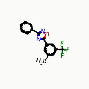 Bc1cc(-c2nc(-c3ccccc3)no2)cc(C(F)(F)F)c1